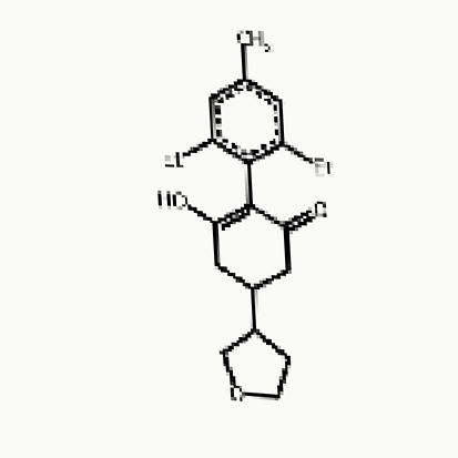 CCc1cc(C)cc(CC)c1C1=C(O)CC(C2CCOC2)CC1=O